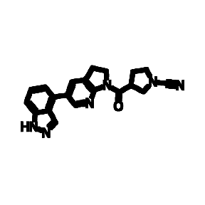 N#CN1CCC(C(=O)N2CCc3cc(-c4cccc5[nH]ncc45)cnc32)C1